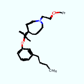 COCCCc1cccc(OC(C)(C)C2CCN(CCOC(C)C)CC2)c1